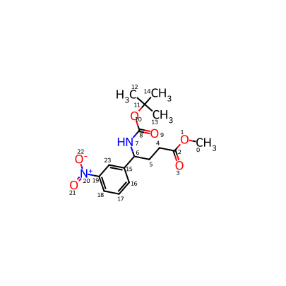 COC(=O)CCC(NC(=O)OC(C)(C)C)c1cccc([N+](=O)[O-])c1